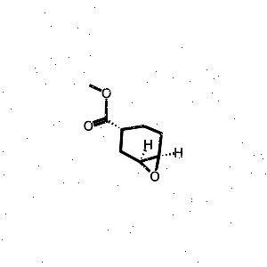 COC(=O)[C@@H]1CC[C@H]2O[C@H]2C1